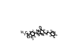 CN(C)c1ccc(-c2nn3c(=O)cc(/C=C/c4cccnc4)nc3s2)cc1